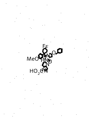 COc1ccc(C2(C(=O)N3C[C@@H](OCc4ccccc4)C[C@@H]3C(=O)Nc3ccc4c(cnn4C(=O)O)n3)CCC(F)(F)CC2)cc1